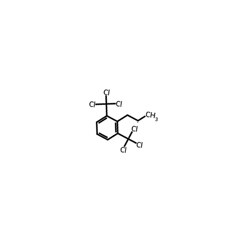 C[CH]Cc1c(C(Cl)(Cl)Cl)cccc1C(Cl)(Cl)Cl